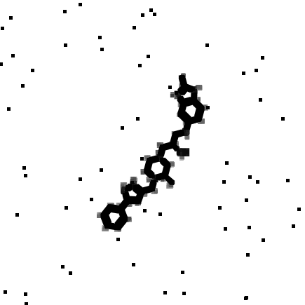 Cc1nc2cc(OC[C@@H](O)CN3CCN(Cc4cc(-c5ccccc5)on4)[C@H](C)C3)ccc2s1